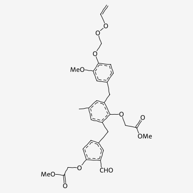 C=COOCOc1ccc(Cc2cc(C)cc(Cc3ccc(OCC(=O)OC)c(C=O)c3)c2OCC(=O)OC)cc1OC